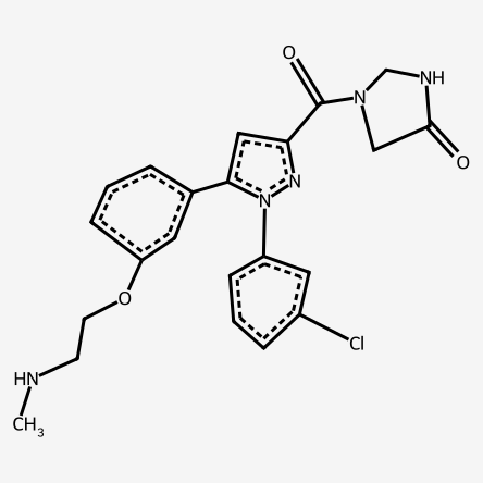 CNCCOc1cccc(-c2cc(C(=O)N3CNC(=O)C3)nn2-c2cccc(Cl)c2)c1